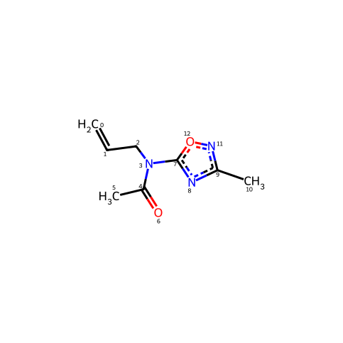 C=CCN(C(C)=O)c1nc(C)no1